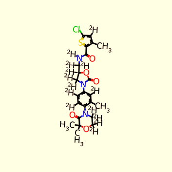 [2H]c1c(Cl)sc(C(=O)N([2H])C([2H])([2H])[C@]2([2H])OC(=O)N(c3c([2H])c([2H])c(N4C(=O)C(C)(C)OC([2H])([2H])C4([2H])[2H])c(C)c3[2H])C2([2H])[2H])c1C